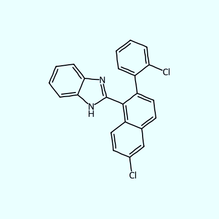 Clc1ccc2c(-c3nc4ccccc4[nH]3)c(-c3ccccc3Cl)ccc2c1